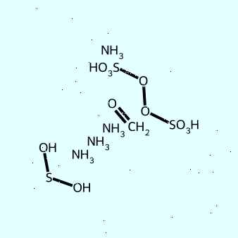 C=O.N.N.N.N.O=S(=O)(O)OOS(=O)(=O)O.OSO